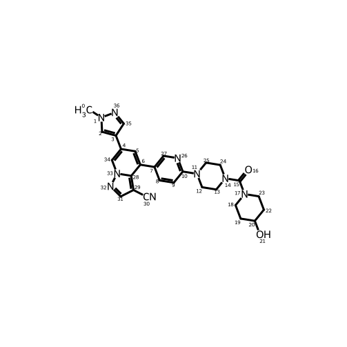 Cn1cc(-c2cc(-c3ccc(N4CCN(C(=O)N5CCC(O)CC5)CC4)nc3)c3c(C#N)cnn3c2)cn1